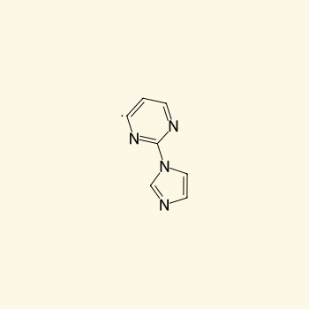 [c]1ccnc(-n2ccnc2)n1